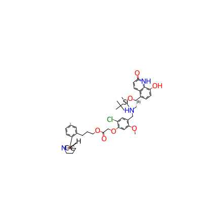 COc1cc(OCC(=O)OCCCc2c[c]ccc2[C@@H]2CN3CCC2CC3)c(Cl)cc1CNC[C@H](O[Si](C)(C)C(C)(C)C)c1ccc(O)c2[nH]c(=O)ccc12